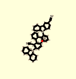 N#Cc1ccc2c(c1)c1c(n2-c2ccccc2-c2ccccc2-c2c(C#N)ccc(-n3c4c(c5ccccc53)CCC=C4)c2C#N)CCC=C1